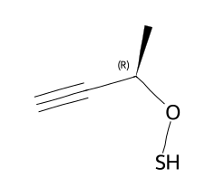 C#C[C@@H](C)OS